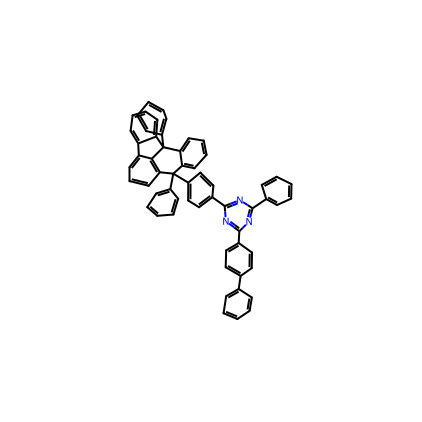 c1ccc(-c2ccc(-c3nc(-c4ccccc4)nc(-c4ccc(C5(c6ccccc6)c6ccccc6C6(c7ccccc7)c7ccccc7-c7cccc5c76)cc4)n3)cc2)cc1